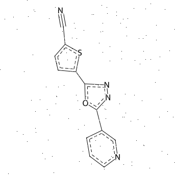 N#Cc1ccc(-c2nnc(-c3cccnc3)o2)s1